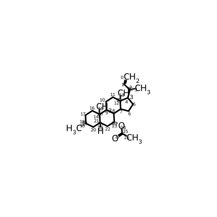 C=C[C@@H](C)C1CCC2C3C(CC[C@@]21C)[C@@]1(C)CC[C@@H](C)C[C@H]1C[C@H]3OC(C)=O